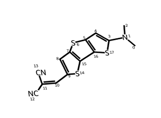 CN(C)c1cc2sc3cc(C=C(C#N)C#N)sc3c2s1